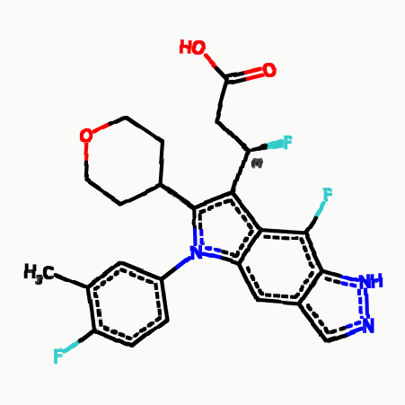 Cc1cc(-n2c(C3CCOCC3)c([C@H](F)CC(=O)O)c3c(F)c4[nH]ncc4cc32)ccc1F